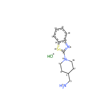 Cl.NCC1CCN(c2nc3ccccc3s2)CC1